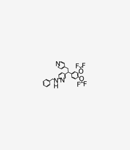 FC(F)Oc1ccc(C(Cc2ccncc2)c2ccc(NCc3ccccc3)nc2)cc1OC(F)F